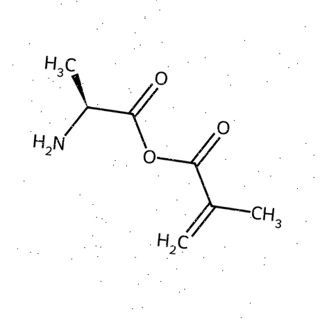 C=C(C)C(=O)OC(=O)[C@H](C)N